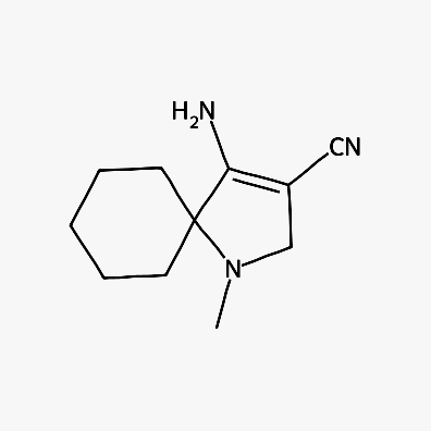 CN1CC(C#N)=C(N)C12CCCCC2